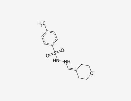 Cc1ccc(S(=O)(=O)NNC=C2CCOCC2)cc1